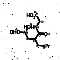 CC(C)CC(CN(O)C=O)C(=O)NCC(=O)O